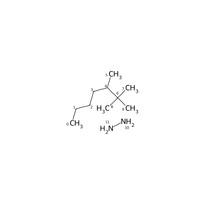 CCCCC(C)C(C)(C)C.NN